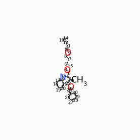 Cc1c(COCCCCOCCC2CC2)nc2ccccc2c1OCc1ccccc1